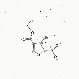 CCOC(=O)C1=CSC([N+](=O)[O-])C1Br